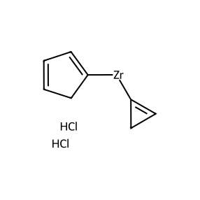 C1=CC[C]([Zr][C]2=CC2)=C1.Cl.Cl